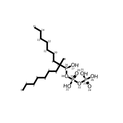 CCCCCCCC(C)(CCCCCCC)P(O)OP(=O)(O)OP(=O)(O)O